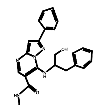 CNC(=O)c1cnc2cc(-c3ccccc3)nn2c1NC(CO)Cc1ccccc1